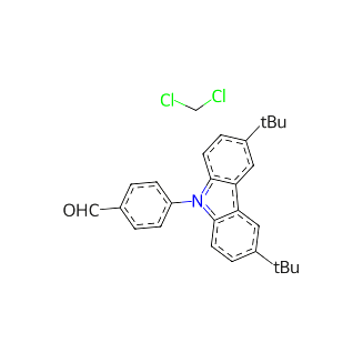 CC(C)(C)c1ccc2c(c1)c1cc(C(C)(C)C)ccc1n2-c1ccc(C=O)cc1.ClCCl